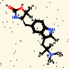 [2H]c1[nH]c2ccc(C[C@@H]3NC(=O)OC3([2H])[2H])cc2c1CC([2H])([2H])N(C)C